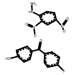 NNc1ccc([N+](=O)[O-])cc1[N+](=O)[O-].O=C(c1ccc(O)cc1)c1ccc(F)cc1